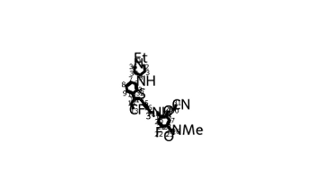 CCN1CCC(Nc2cccc3c(CC(F)(F)F)c(C#CCNc4cc(F)c(C(=O)NC)cc4OCC#N)sc23)CC1